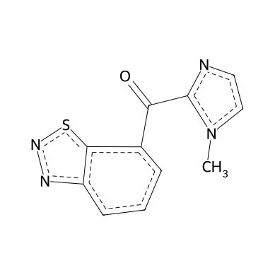 Cn1ccnc1C(=O)c1cccc2nnsc12